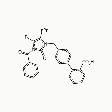 CCCc1c(F)n(C(=O)c2ccccc2)c(=O)n1Cc1ccc(-c2ccccc2C(=O)O)cc1